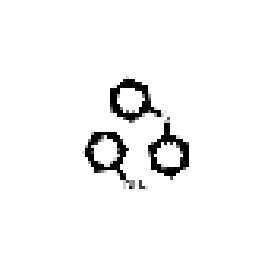 Nc1ccccc1.c1ccc(Sc2ccccc2)cc1